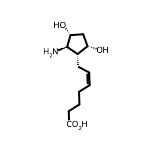 N[C@@H]1[C@@H](C/C=C\CCCC(=O)O)[C@@H](O)C[C@H]1O